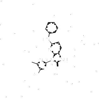 CC(=O)c1sc(-n2c(=O)[nH]c3ccc(Nc4ccccc4)nc32)nc1C